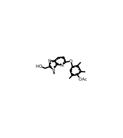 CC(=O)Oc1c(C)cc(Oc2ccc3nc(CO)n(C)c3n2)c(C)c1C